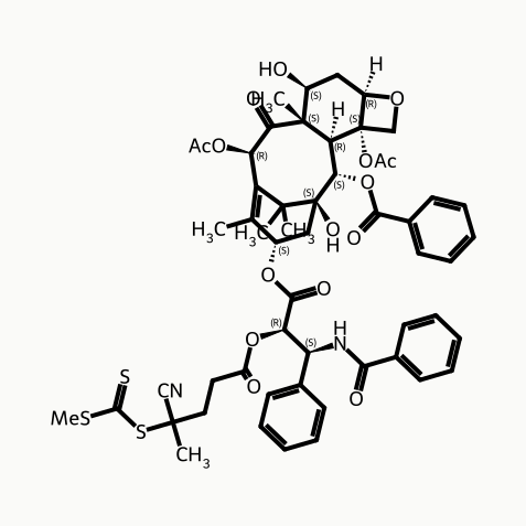 CSC(=S)SC(C)(C#N)CCC(=O)O[C@@H](C(=O)O[C@H]1C[C@@]2(O)[C@@H](OC(=O)c3ccccc3)[C@@H]3[C@]4(OC(C)=O)CO[C@@H]4C[C@H](O)[C@@]3(C)C(=O)[C@H](OC(C)=O)C(=C1C)C2(C)C)[C@@H](NC(=O)c1ccccc1)c1ccccc1